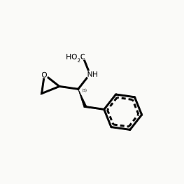 O=C(O)N[C@@H](Cc1ccccc1)C1CO1